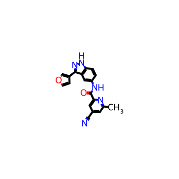 Cc1cc(C#N)cc(C(=O)Nc2ccc3[nH]nc(-c4ccoc4)c3c2)n1